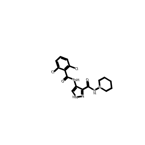 O=C(NN1CCCCC1)c1n[nH]cc1[AsH]C(=O)c1c(Cl)cccc1Cl